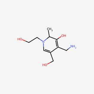 CC1C(O)=C(CN)C(CO)=CN1CCO